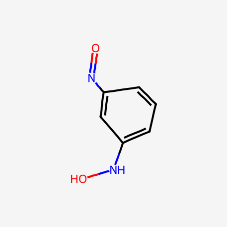 O=Nc1cccc(NO)c1